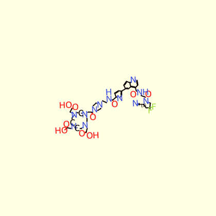 N#C[C@@H]1CC(F)(F)CN1C(=O)CNC(=O)c1ccnc2ccc(-c3ccc(C(=O)NCCN4CCN(C(=O)CN5CCN(CC(=O)O)CCN(CC(=O)O)CCN(CC(=O)O)CC5)CC4)nc3)cc12